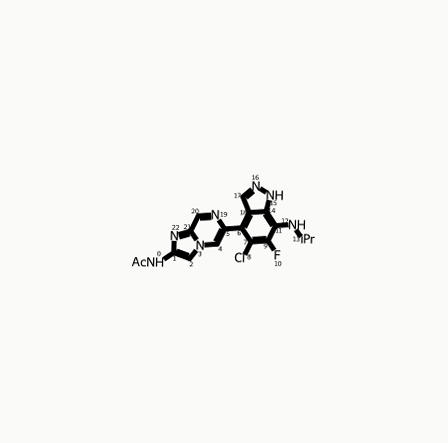 CC(=O)Nc1cn2cc(-c3c(Cl)c(F)c(NC(C)C)c4[nH]ncc34)ncc2n1